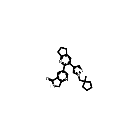 CC1(Cn2cc(-c3cc4c(nc3-c3cnc5c(c3)C(=O)NC5)CCC4)cn2)CCCC1